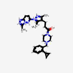 Cc1nn(-c2ccc3nnc(C)n3n2)c(C)c1CCC(=O)N1CCN(Cc2ccccc2C2CC2)CC1